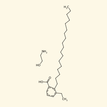 CCCCCCCCCCCCCCCCCCc1c(CC)cccc1C(=O)O.NCCO